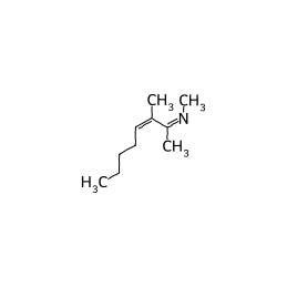 CCCC/C=C(C)\C(C)=N/C